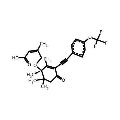 CC1=C(C#Cc2ccc(OC(F)(F)F)cc2)C(=O)CC(C)(C)[C@]1(C)OC/C(C)=C\C(=O)O